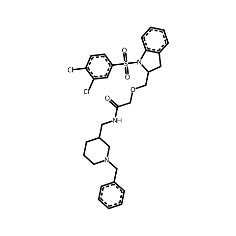 O=C(COCC1Cc2ccccc2N1S(=O)(=O)c1ccc(Cl)c(Cl)c1)NCC1CCCN(Cc2ccccc2)C1